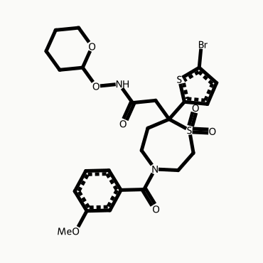 COc1cccc(C(=O)N2CCC(CC(=O)NOC3CCCCO3)(c3ccc(Br)s3)S(=O)(=O)CC2)c1